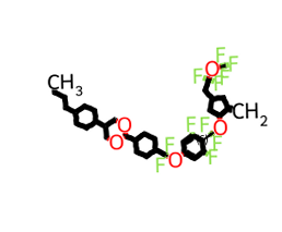 C=C1CC(CC(F)(F)OC(F)(F)F)CC1OC(F)(F)[C@@H]1C(F)=CC(OC(F)(F)C2CCC(C3OCC(C4CCC(CCCC)CC4)CO3)CC2)=CC1F